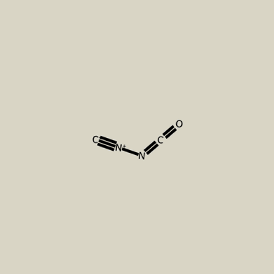 [C-]#[N+]N=C=O